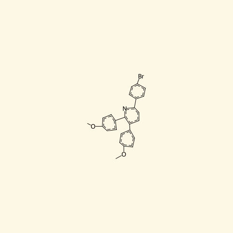 COc1ccc(-c2ccc(-c3ccc(Br)cc3)nc2-c2ccc(OC)cc2)cc1